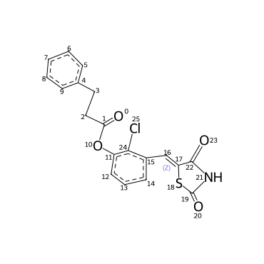 O=C(CCc1ccccc1)Oc1cccc(/C=C2\SC(=O)NC2=O)c1Cl